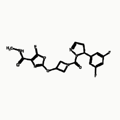 CNC(=O)c1nc(OC2CN(C(=O)N3N=CCC3c3cc(F)cc(F)c3)C2)oc1F